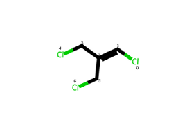 ClC=C(CCl)CCl